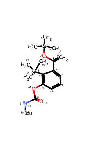 C=C(O[Si](C)(C)C)c1cccc(OC(=O)NC(C)(C)C)c1[Si](C)(C)C